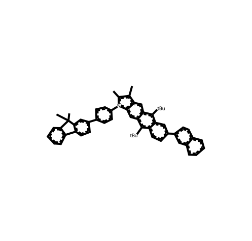 Cc1c(C)n(-c2ccc(-c3ccc4c(c3)C(C)(C)c3ccccc3-4)cc2)c2cc3c(C(C)(C)C)c4ccc(-c5ccc6ccccc6c5)cc4c(C(C)(C)C)c3cc12